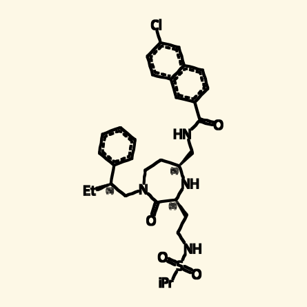 CC[C@H](CN1CC[C@@H](CNC(=O)c2ccc3cc(Cl)ccc3c2)N[C@@H](CCNS(=O)(=O)C(C)C)C1=O)c1ccccc1